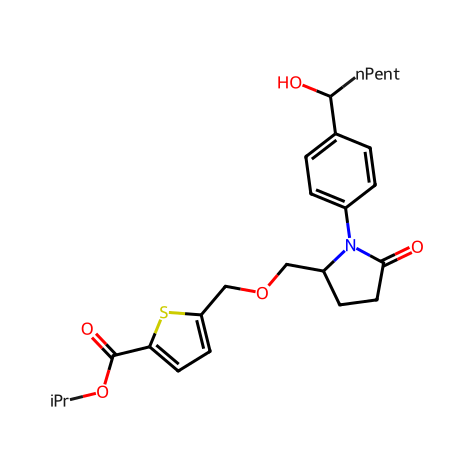 CCCCCC(O)c1ccc(N2C(=O)CCC2COCc2ccc(C(=O)OC(C)C)s2)cc1